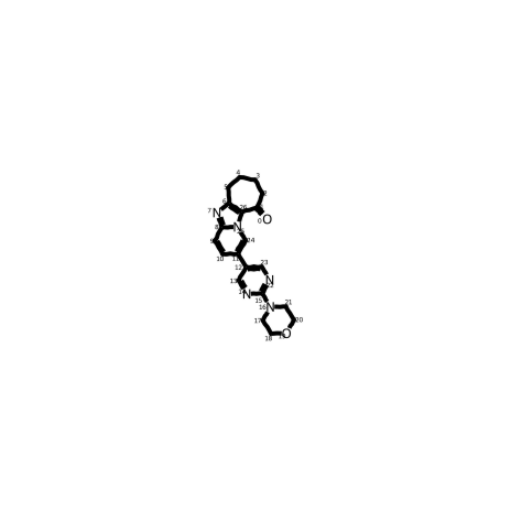 O=C1CCCCc2nc3ccc(-c4cnc(N5CCOCC5)nc4)cn3c21